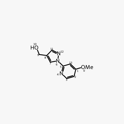 COc1ccnc(-n2cc(CO)cn2)c1